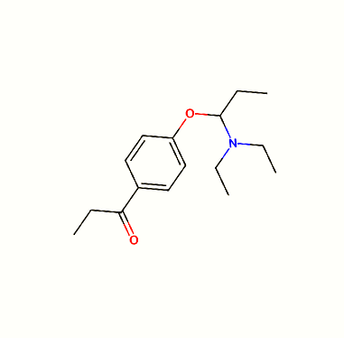 CCC(=O)c1ccc(OC(CC)N(CC)CC)cc1